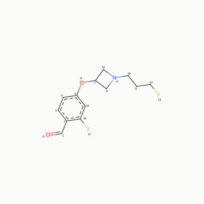 O=Cc1ccc(OC2CN(CCCF)C2)cc1F